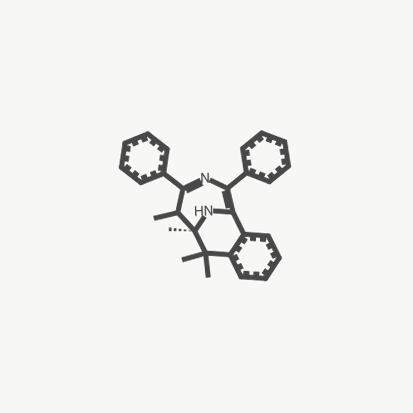 CC1C(c2ccccc2)=NC(c2ccccc2)=C2N[C@@]1(C)C(C)(C)c1ccccc12